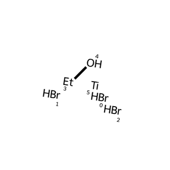 Br.Br.Br.CCO.[Ti]